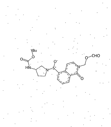 CC(C)(C)OC(=O)NC1CCN([S+]([O-])c2cccc3c(=O)n(COC=O)ccc23)C1